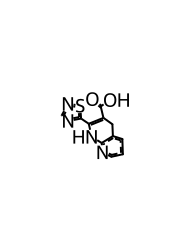 O=C(O)C1=C(c2ncns2)Nc2ncccc2C1